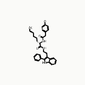 CC(=O)CCCCC[C@H](NC(=O)Cc1ccc(Cl)cc1)C(=O)NCCc1c(-c2ccccc2)[nH]c2ccccc12